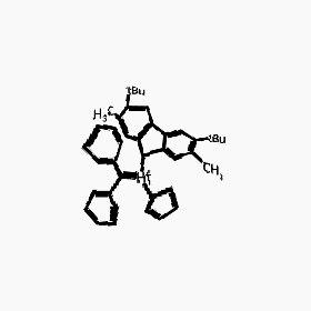 Cc1cc2c(cc1C(C)(C)C)-c1cc(C(C)(C)C)c(C)cc1[CH]2[Hf](=[C](c1ccccc1)c1ccccc1)[CH]1C=CC=C1